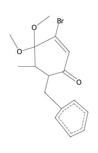 COC1(OC)C(Br)=CC(=O)C(Cc2ccccc2)C1C